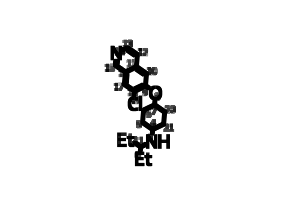 CCC(CC)NC1CCC(Oc2cc3ccncc3cc2Cl)CC1